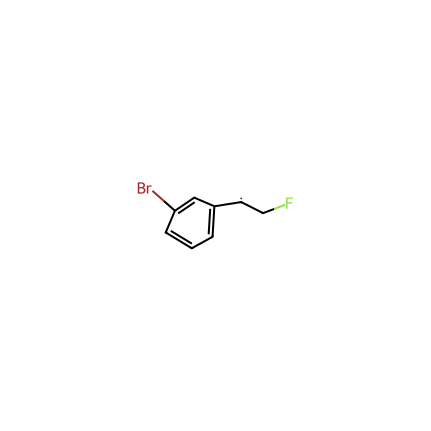 FC[CH]c1cccc(Br)c1